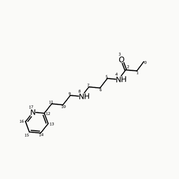 CCC(=O)NCCCNCCCc1ccccn1